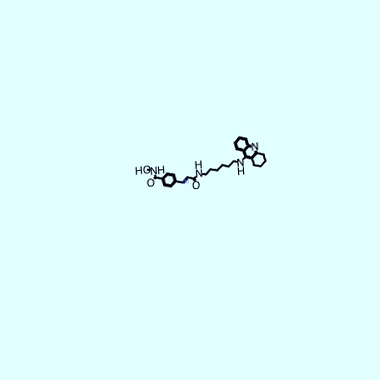 O=C(/C=C/c1ccc(C(=O)NO)cc1)NCCCCCCNc1c2c(nc3ccccc13)CCCC2